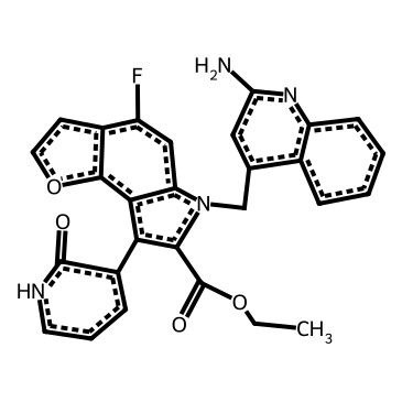 CCOC(=O)c1c(-c2ccc[nH]c2=O)c2c3occc3c(F)cc2n1Cc1cc(N)nc2ccccc12